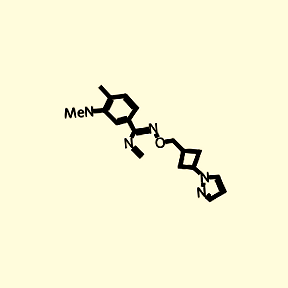 C=N/C(=N\OCC1CC(n2cccn2)C1)c1ccc(C)c(NC)c1